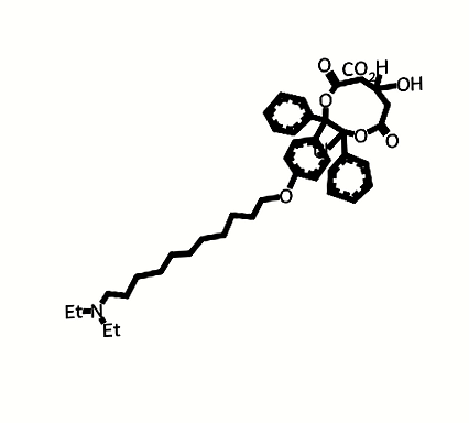 CCN(CC)CCCCCCCCCCCOc1ccc(C2(c3ccccc3)OC(=O)CC(O)(C(=O)O)CC(=O)OC2(Cl)c2ccccc2)cc1